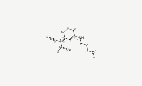 COCCCNC1=C/C(=C(/C#N)C(C)=O)CCC1